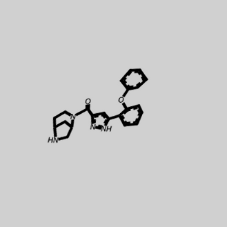 O=C(c1cc(-c2ccccc2Oc2ccccc2)[nH]n1)N1CCC2CC1CN2